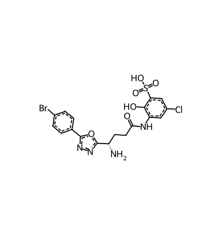 N[C@@H](CCC(=O)Nc1cc(Cl)cc(S(=O)(=O)O)c1O)c1nnc(-c2ccc(Br)cc2)o1